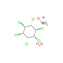 Cl[C@H]1[C@H](Cl)[C@@H](Cl)[C@@H](Cl)[C@H](Cl)[C@H]1Cl.O.O=[N+]([O-])[O-].[Y]